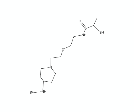 CC(C)NC1CCN(CCOCCNC(=O)C(C)S)CC1